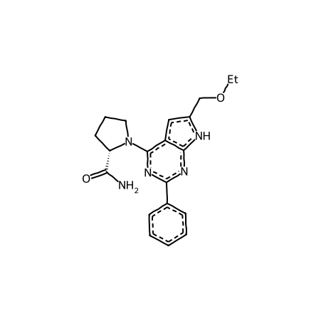 CCOCc1cc2c(N3CCC[C@H]3C(N)=O)nc(-c3ccccc3)nc2[nH]1